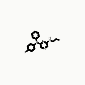 FCCNc1cncc(N(c2ccccc2)c2ccc(F)cc2)n1